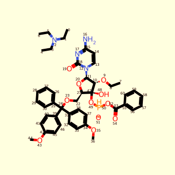 CCN(CC)CC.CCO[C@H]1[C@H](n2ccc(N)nc2=O)O[C@H](COC(c2ccccc2)(c2ccc(OC)cc2)c2ccc(OC)cc2)[C@@]1(O)O[PH](=O)OC(=O)c1ccccc1